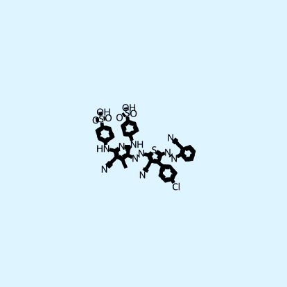 Cc1c(C#N)c(Nc2ccc(S(=O)(=O)O)cc2)nc(Nc2ccc(S(=O)(=O)O)cc2)c1N=Nc1sc(N=Nc2ccccc2C#N)c(-c2ccc(Cl)cc2)c1C#N